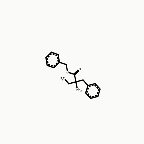 CCC(N)(Cc1ccccc1)C(=O)OCc1ccccc1